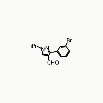 CC(C)n1cc(C=O)c(-c2cccc(Br)c2)n1